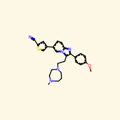 COc1ccc(-c2nc3ccc(-c4csc(C#N)c4)cn3c2CCN2CCCN(C)CC2)cc1